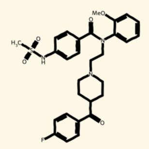 COc1ccccc1N(CCN1CCC(C(=O)c2ccc(F)cc2)CC1)C(=O)c1ccc(NS(C)(=O)=O)cc1